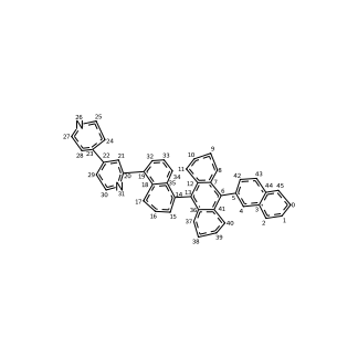 c1ccc2cc(-c3c4ccccc4c(-c4cccc5c(-c6cc(-c7ccncc7)ccn6)cccc45)c4ccccc34)ccc2c1